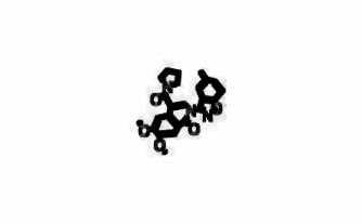 COc1cc2c(C(=O)N3CCCC3)cn(-c3noc4ccc(C)cc34)c(=O)c2cc1OC